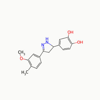 COc1cc(C2=NNC(c3ccc(O)c(O)c3)C2)ccc1C